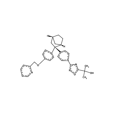 CC(C)(O)c1nc(-c2ccc([C@@]3(c4ccc(OCc5ccccn5)cc4)C[C@@H]4CC[C@H]3C4)cc2)no1